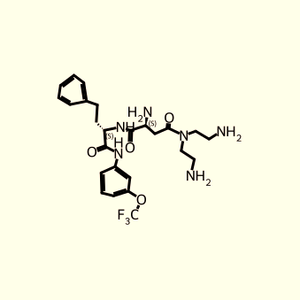 NCCN(CCN)C(=O)C[C@H](N)C(=O)N[C@@H](CCc1ccccc1)C(=O)Nc1cccc(OC(F)(F)F)c1